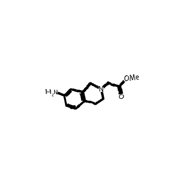 COC(=O)CN1CCc2ccc(N)cc2C1